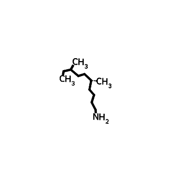 CCC(C)CC[C@H](C)CCCCN